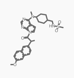 COc1ccc2cc(C(C)C(=O)n3ccc4c(N(C)C5CCC(CNS(C)(=O)=O)CC5)ncnc43)ccc2c1